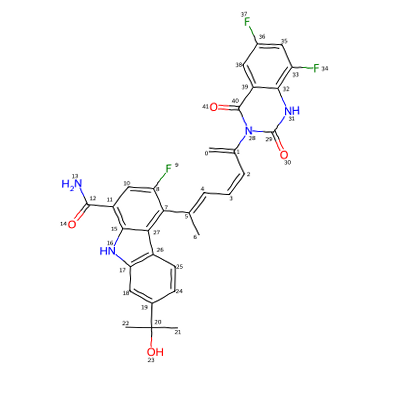 C=C(/C=C\C=C(/C)c1c(F)cc(C(N)=O)c2[nH]c3cc(C(C)(C)O)ccc3c12)n1c(=O)[nH]c2c(F)cc(F)cc2c1=O